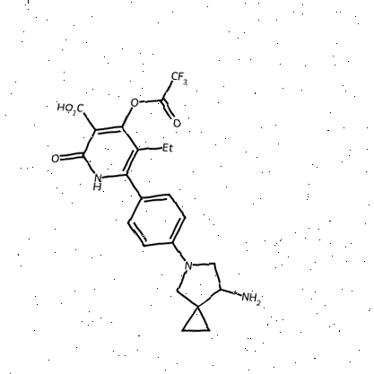 CCc1c(-c2ccc(N3CC(N)C4(CC4)C3)cc2)[nH]c(=O)c(C(=O)O)c1OC(=O)C(F)(F)F